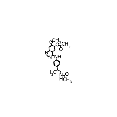 COc1cc2ncnc(Nc3ccc([C@H](C)CNC(C)=O)cc3)c2cc1OC(C)=O